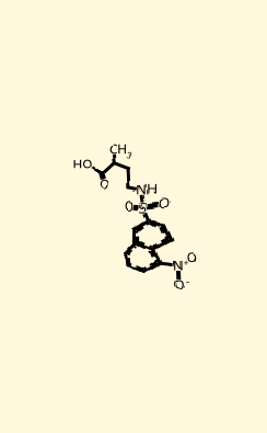 CC(CCNS(=O)(=O)c1ccc2c([N+](=O)[O-])cccc2c1)C(=O)O